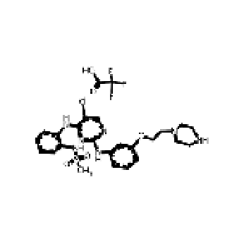 CS(=O)(=O)Nc1ccccc1Nc1nc(Nc2cccc(OCCN3CCNCC3)c2)ncc1Cl.O=C(O)C(F)(F)F